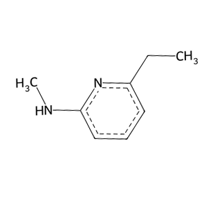 CCc1cccc(NC)n1